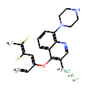 C=CC(=CC(F)=C(C)F)Oc1c(C)cnc2c(N3CCNCC3)cccc12.Cl.Cl.Cl